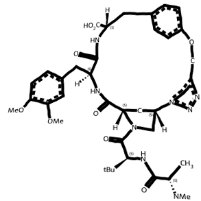 CN[C@@H](C)C(=O)N[C@H](C(=O)N1C[C@@H]2C[C@H]1C(=O)N[C@@H](Cc1ccc(OC)c(OC)c1)C(=O)N[C@H](C(=O)O)Cc1ccc(cc1)OCc1cn2nn1)C(C)(C)C